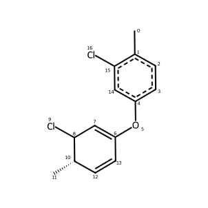 Cc1ccc(OC2=CC(Cl)[C@@H](C)C=C2)cc1Cl